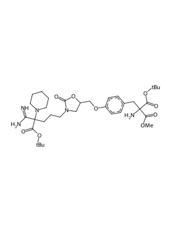 COC(=O)C(N)(Cc1ccc(OCC2CN(CCCC(C(=N)N)(C(=O)OC(C)(C)C)N3CCCCC3)C(=O)O2)cc1)C(=O)OC(C)(C)C